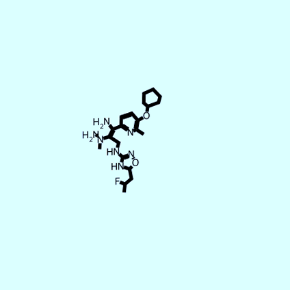 Cc1nc(/C(N)=C(\CNC2=NOC(CC(C)F)N2)N(C)N)ccc1OC1CCCCC1